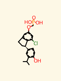 CC(C)c1cc([C@H]2CCc3cc(OCP(=O)(O)O)cc(Cl)c32)ccc1O